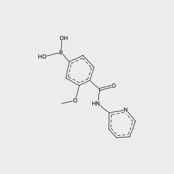 COc1cc(B(O)O)ccc1C(=O)Nc1ccccn1